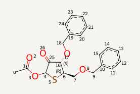 CC(=O)OC1S[C@H](COCc2ccccc2)[C@@H](OCc2ccccc2)C1=O